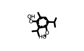 Cc1cc(C(C)C)c(OO)c(C(C)C)c1OO